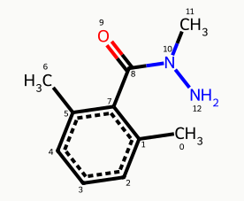 Cc1cccc(C)c1C(=O)N(C)N